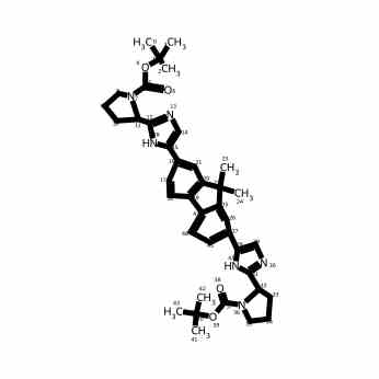 CC(C)(C)OC(=O)N1CCCC1c1ncc(-c2ccc3c(c2)C(C)(C)c2cc(-c4cnc(C5CCCN5C(=O)OC(C)(C)C)[nH]4)ccc2-3)[nH]1